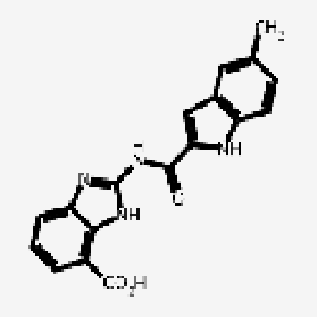 Cc1ccc2[nH]c(C(=O)Nc3nc4cccc(C(=O)O)c4[nH]3)cc2c1